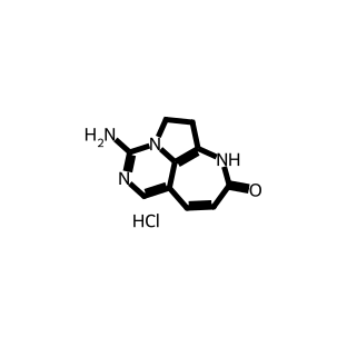 Cl.NC1=NC=C2C=CC(=O)NC3=C2N1CC3